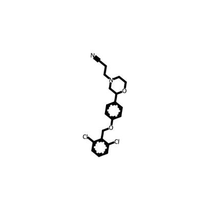 N#CCCN1CCOC(c2ccc(OCc3c(Cl)cccc3Cl)cc2)C1